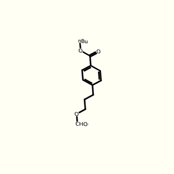 CCCCOC(=O)c1ccc(CCCO[C]=O)cc1